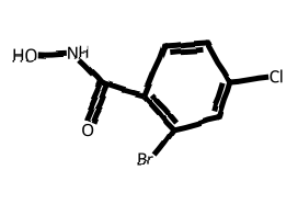 O=C(NO)c1ccc(Cl)cc1Br